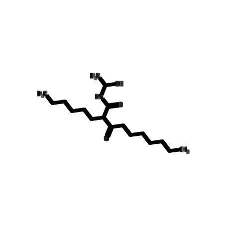 CCCCCCCC(=O)C(CCCCCC)C(=O)NC(C)O